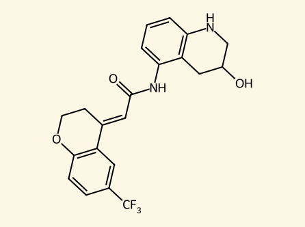 O=C(C=C1CCOc2ccc(C(F)(F)F)cc21)Nc1cccc2c1CC(O)CN2